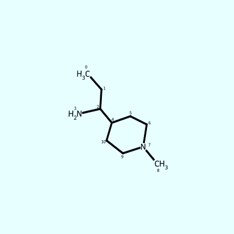 CCC(N)C1CCN(C)CC1